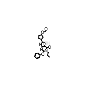 CCCn1c(Oc2ccccc2)nc2nc(C3CCC(OC=O)C3)[nH]c2c1=O